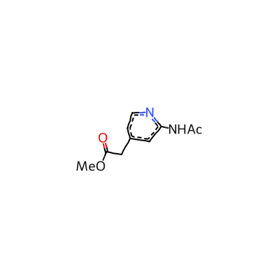 COC(=O)Cc1ccnc(NC(C)=O)c1